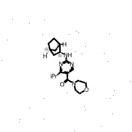 CC(C)c1nc(N[C@H]2C[C@H]3CC[C@H]2C3)ncc1C(=O)N1CCOCC1